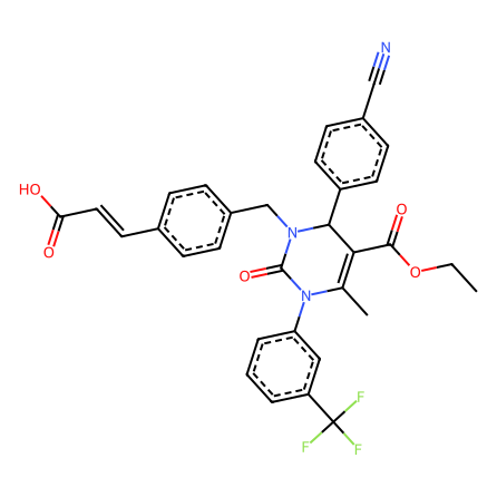 CCOC(=O)C1=C(C)N(c2cccc(C(F)(F)F)c2)C(=O)N(Cc2ccc(C=CC(=O)O)cc2)C1c1ccc(C#N)cc1